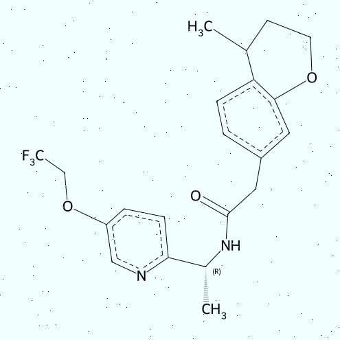 CC1CCOc2cc(CC(=O)N[C@H](C)c3ccc(OCC(F)(F)F)cn3)ccc21